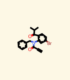 C#CC(=O)N(Cc1ccccc1)c1cc(Br)ccc1C(=O)C(C)C